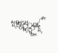 CC(=O)O[C@@H]1CC[C@@]2(C)C(CC=C3[C@@H]2CC[C@]2(C)[C@@H]([C@H](C)CCCC(C)C)CC(=NO)[C@@]32C)C1(C)C